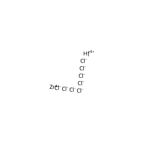 [Cl-].[Cl-].[Cl-].[Cl-].[Cl-].[Cl-].[Cl-].[Cl-].[Hf+4].[Zr+4]